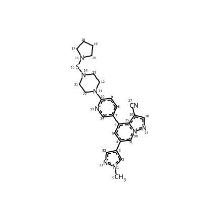 Cn1cc(-c2cc(-c3ccc(N4CCN(SN5CCCC5)CC4)nc3)c3c(C#N)cnn3c2)cn1